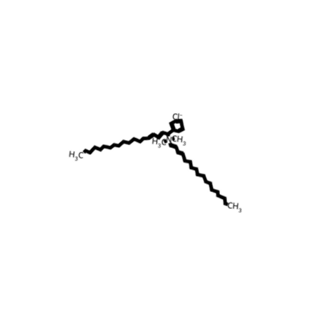 CCCCCCCCCCCCCCC=CC=CC(c1ccccc1)[N+](C)(C)C=CC=CCCCCCCCCCCCCCC.[Cl-]